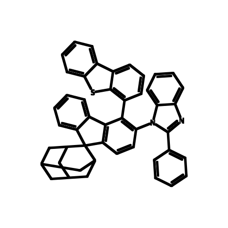 c1ccc(-c2nc3ccccc3n2-c2ccc3c(c2-c2cccc4c2sc2ccccc24)-c2ccccc2C32C3CC4CC(C3)CC2C4)cc1